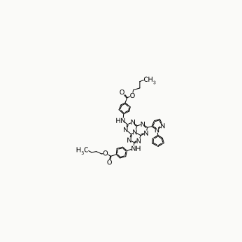 CCCCOC(=O)c1ccc(NC2=NC3=NC(Nc4ccc(C(=O)OCCCC)cc4)=NC4=NC(c5ccnn5-c5ccccc5)=NC(=N2)N34)cc1